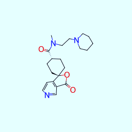 CN(CCN1CCCCC1)C(=O)[C@H]1CC[C@@]2(CC1)OC(=O)c1cnccc12